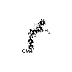 COc1ccc(-c2ccc(CNC(=O)c3ncc(-c4nc(C)cc(Nc5cccnc5)n4)cc3F)cn2)cn1